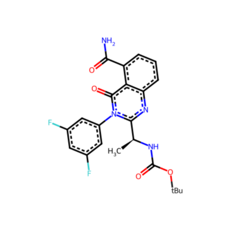 C[C@H](NC(=O)OC(C)(C)C)c1nc2cccc(C(N)=O)c2c(=O)n1-c1cc(F)cc(F)c1